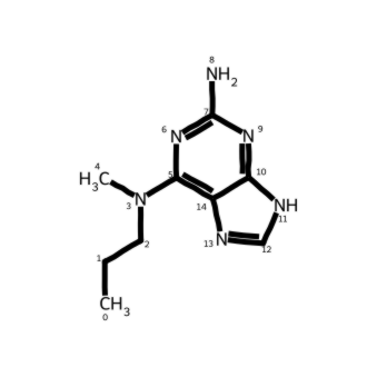 CCCN(C)c1nc(N)nc2[nH]cnc12